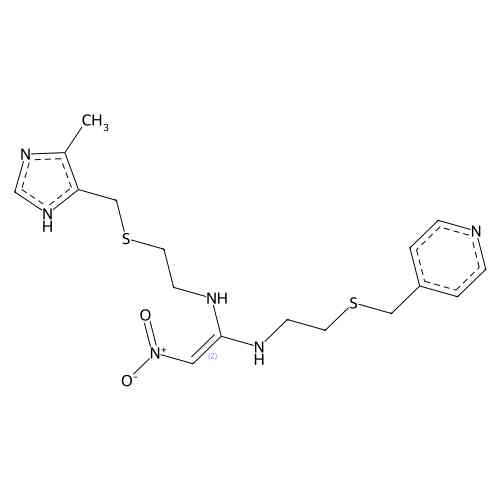 Cc1nc[nH]c1CSCCN/C(=C\[N+](=O)[O-])NCCSCc1ccncc1